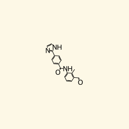 Cc1c(C=O)cccc1NC(=O)c1ccc(-c2ncc[nH]2)cc1